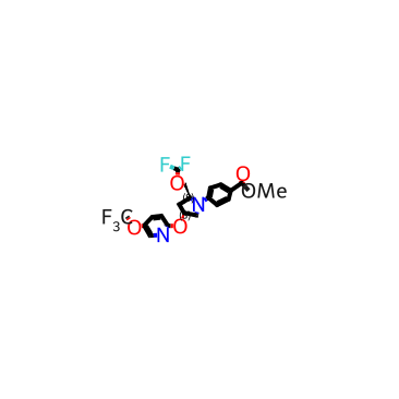 COC(=O)c1ccc(N2C[C@@H](Oc3ccc(OC(F)(F)F)cn3)C[C@H]2COC(F)F)cc1